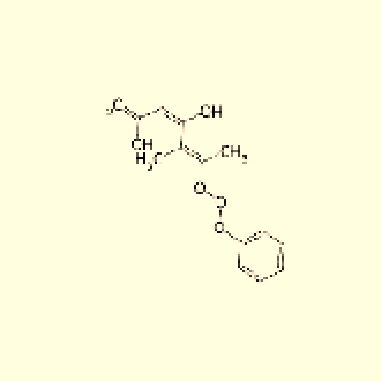 C=C(O)/C=C(O)\C(C)=C(/C)OOOc1ccccc1